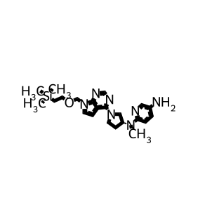 CN(c1ccc(N)cn1)[C@@H]1CCN(c2ncnc3c2ccn3COCC[Si](C)(C)C)C1